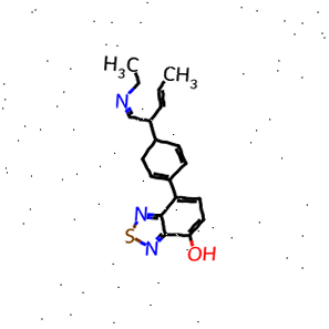 C/C=C/C(/C=N\CC)C1C=CC(c2ccc(O)c3nsnc23)=CC1